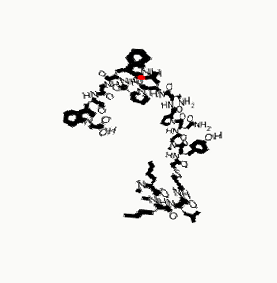 CCCC[C@@H](C(=O)N(C)[C@@H](CCCC)C(=O)N[C@@H](CC(C)C)C(=O)NCCSCC(=O)N[C@@H](Cc1ccc(O)cc1)C(=O)N(C)CC(=O)N[C@@H](CC(N)=O)C(=O)N1CCCC1C(=O)N[C@@H](CN)C(=O)N[C@@H](CC(C)C)C(=O)N1CCC[C@@H]1C(=O)N[C@@H](Cc1c[nH]c2ccccc12)C(=O)NCC(=O)N[C@H](C=O)Cc1cn(CC(=O)O)c2ccccc12)N(C)C